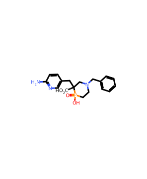 Nc1ccc(CC2(C(=O)O)CN(Cc3ccccc3)CCP2(=O)O)cn1